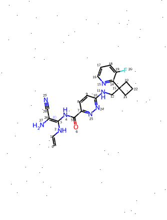 C=CN/C(NC(=O)c1ccc(NCC2(c3ncccc3F)CCC2)nn1)=C(\N)C#N